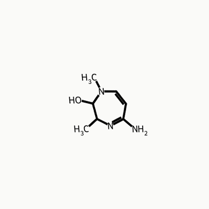 CC1N=C(N)C=CN(C)C1O